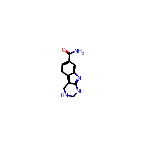 NC(=O)C1=CCC2=C3CNCNC3=NC2=C1